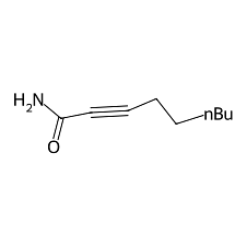 CCCCCCC#CC(N)=O